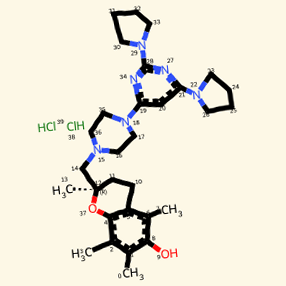 Cc1c(C)c2c(c(C)c1O)CC[C@](C)(CN1CCN(c3cc(N4CCCC4)nc(N4CCCC4)n3)CC1)O2.Cl.Cl